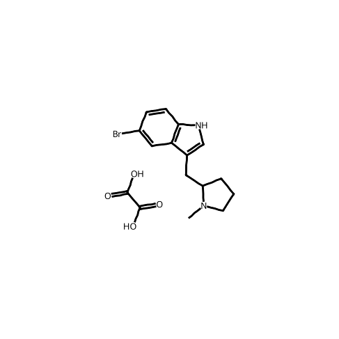 CN1CCCC1Cc1c[nH]c2ccc(Br)cc12.O=C(O)C(=O)O